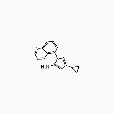 Nc1cc(C2CC2)nn1-c1cccc2ncccc12